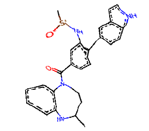 CC1CCN(C(=O)c2ccc(-c3ccc4[nH]ccc4c3)c(N[S+](C)[O-])c2)c2ccccc2N1